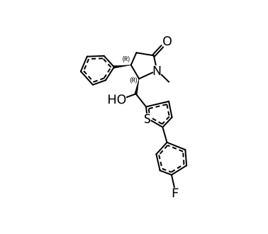 CN1C(=O)C[C@H](c2ccccc2)[C@@H]1C(O)c1ccc(-c2ccc(F)cc2)s1